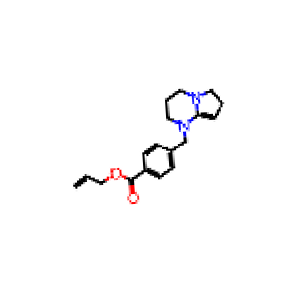 C=CCOC(=O)c1ccc(CN2CCCN3CCC=C32)cc1